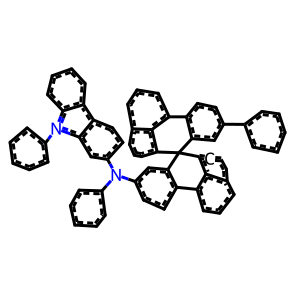 c1ccc(-c2ccc3c(c2)C2(c4cc(N(c5ccccc5)c5ccc6c7ccccc7n(-c7ccccc7)c6c5)ccc4-c4cccc5cccc2c45)c2cccc4cccc-3c24)cc1